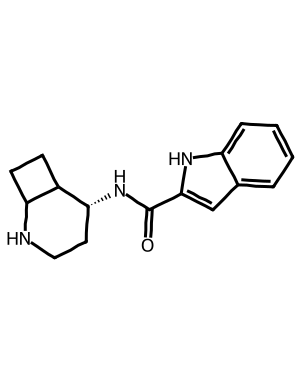 O=C(N[C@@H]1CCNC2CCC21)c1cc2ccccc2[nH]1